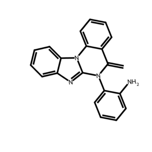 C=C1c2ccccc2-n2c(nc3ccccc32)N1c1ccccc1N